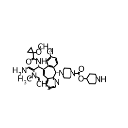 C=CN(C)/C(=C\N)[C@H](NC(=O)C1(OC)CC1)C1=Cc2cccnc2[C@@H](N2CCN(C(=O)OC3CCNCC3)CC2)c2ccc(Cl)cc21